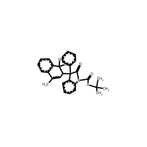 CC1=CC(C2(c3ccccc3)C(=O)N(C(=O)OC(C)(C)C)c3ccccc32)C(C)(O)c2ccccc21